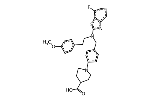 COc1ccc(CCN(Cc2ccc(N3CCC(C(=O)O)CC3)cc2)c2nc3cccc(F)c3s2)cc1